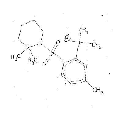 Cc1ccc(S(=O)(=O)N2CCCCC2(C)C)c(C(C)(C)C)c1